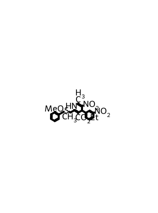 CCOC(=O)C1=C(CSC(C)(OC)c2ccccc2)NC(C)=C([N+](=O)[O-])C1c1cccc([N+](=O)[O-])c1